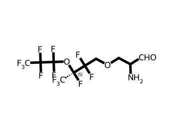 NC(C=O)COCC(F)(F)[C@@](F)(OC(F)(F)C(F)(F)C(F)(F)F)C(F)(F)F